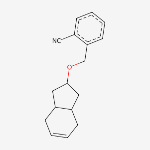 N#Cc1ccccc1COC1CC2CC=CCC2C1